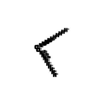 [Cl-].[Cl-].[H-].[H-].[H-].[H-].[H-].[H-].[H-].[H-].[H-].[H-].[H-].[H-].[Ni+2].[Ni+2].[Ni+2].[Ni+2].[Ni+2].[Ni+2].[Ni+2]